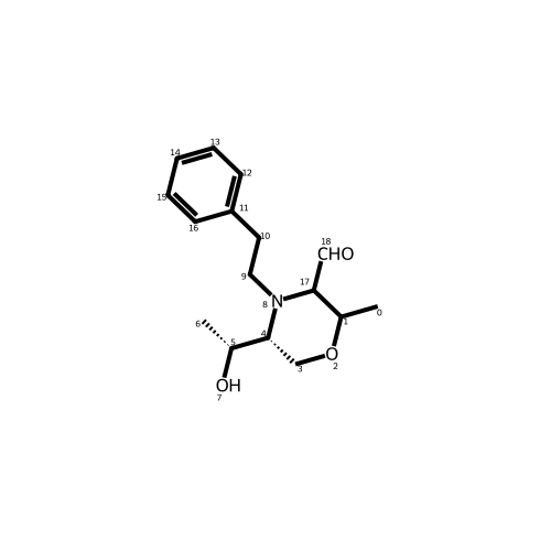 CC1OC[C@H]([C@@H](C)O)N(CCc2ccccc2)C1C=O